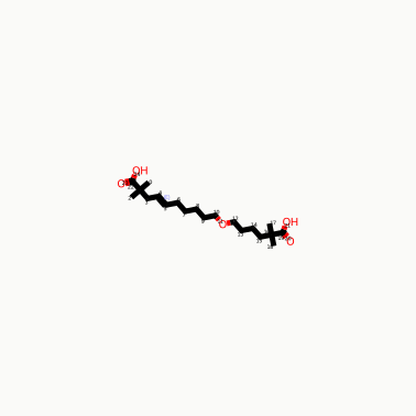 CC(C)(C/C=C/CCCCCOCCCCC(C)(C)C(=O)O)C(=O)O